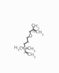 C=C[Si](C)(C)CCCOCC(=C)C